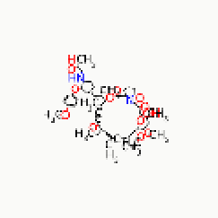 CCC1/C=C(\C)CC(C)CC(OC)C2OC(O)(C(=O)C(=O)N3CCCCC3C(=O)OC(C(C)=CC3CCC(NC[C@@H](C)O)C(Oc4ccc(OC)cc4)C3)C(C)CCC1=O)C(C)CC2OC